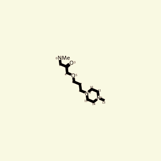 CNCC(=O)COCCCN1CCN(C)CC1